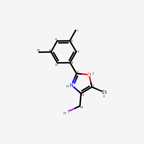 CCc1oc(-c2cc(C)cc(C)c2)nc1CI